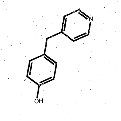 Oc1ccc(Cc2ccncc2)cc1